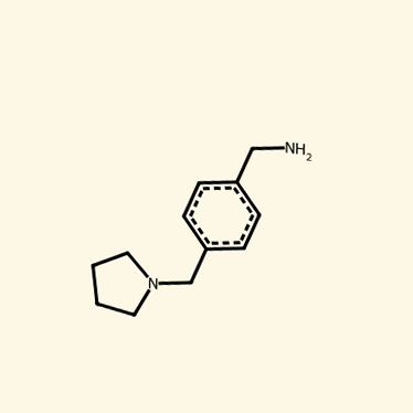 NCc1ccc(CN2CCCC2)cc1